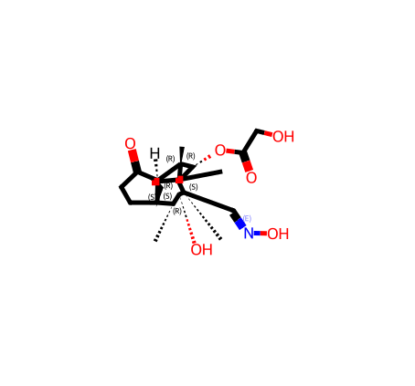 CC1CC[C@@]23CCC(=O)[C@H]2[C@]1(C)[C@H](OC(=O)CO)C[C@@](C)(/C=N/O)[C@@H](O)[C@@H]3C